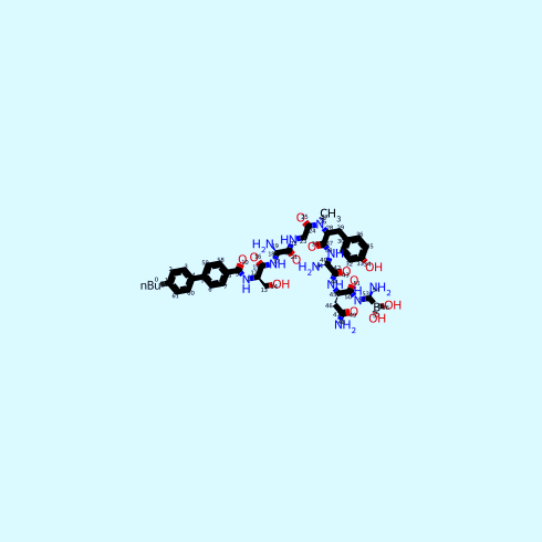 CCCCc1ccc(-c2ccc(C(=O)N[C@H](CO)C(=O)N[C@H](N)C(=O)NCC(=O)N(C)C(Cc3ccc(O)cc3)C(=O)N[C@@H](N)C(=O)N[C@@H](CC(N)=O)C(=O)N[C@@H](N)B(O)O)cc2)cc1